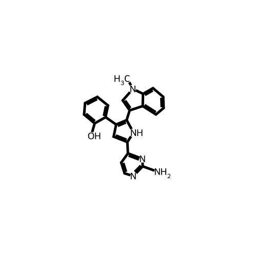 Cn1cc(-c2[nH]c(-c3ccnc(N)n3)cc2-c2ccccc2O)c2ccccc21